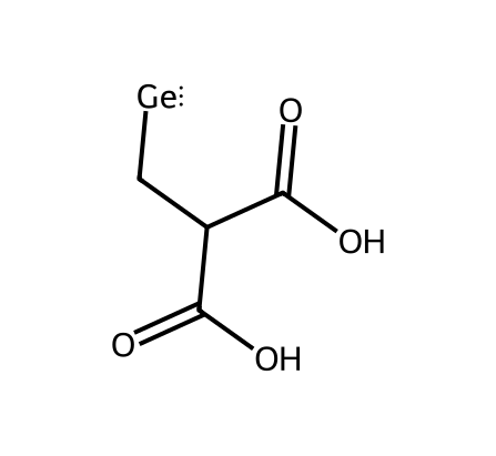 O=C(O)C([CH2][Ge])C(=O)O